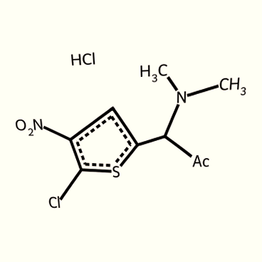 CC(=O)C(c1cc([N+](=O)[O-])c(Cl)s1)N(C)C.Cl